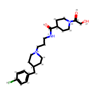 O=C(NCCCN1CCC(Cc2ccc(F)cc2)CC1)C1CCN(C(=O)CO)CC1